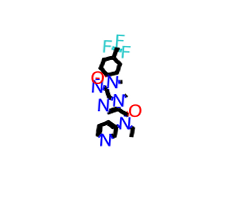 CCN(C(=O)c1cnc(C2=NOC3(CCC(C(F)(F)F)CC3)N2C)n1C)c1cccnc1